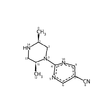 C[C@H]1CN(c2ncc(C#N)cn2)[C@@H](C)CN1